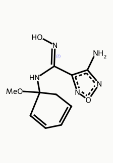 COC1(N/C(=N\O)c2nonc2N)C=CC=CC1